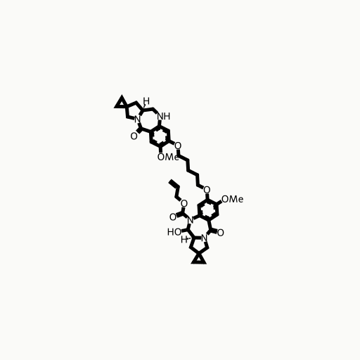 C=CCOC(=O)N1c2cc(OCCCCCOc3cc4c(cc3OC)C(=O)N3CC5(CC5)C[C@H]3CN4)c(OC)cc2C(=O)N2CC3(CC3)C[C@H]2C1O